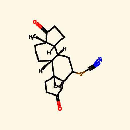 C[C@]12CCC(=O)C=C1C(SC#N)C[C@@H]1[C@H]2CC[C@]2(C)C(=O)CC[C@@H]12